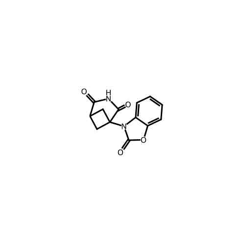 O=C1NC(=O)C2(n3c(=O)oc4ccccc43)CC1C2